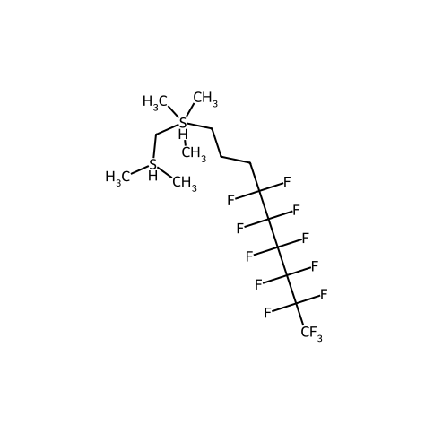 C[SH](C)C[SH](C)(C)(C)CCCC(F)(F)C(F)(F)C(F)(F)C(F)(F)C(F)(F)C(F)(F)F